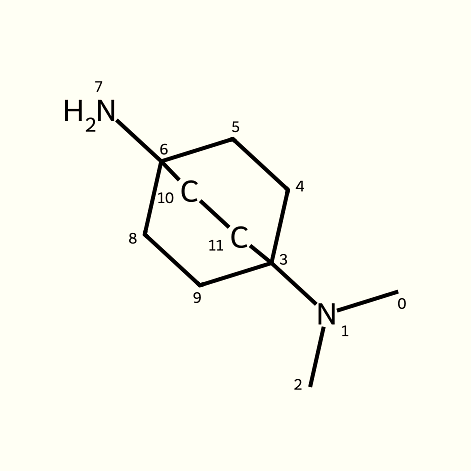 CN(C)C12CCC(N)(CC1)CC2